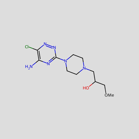 COCC(O)CN1CCN(c2nnc(Cl)c(N)n2)CC1